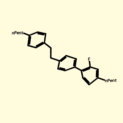 CCCCCc1ccc(CCc2ccc(-c3ccc(CCCCC)cc3F)cc2)cc1